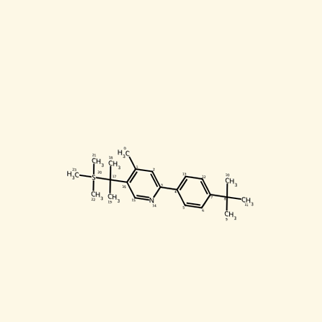 Cc1cc(-c2ccc(C(C)(C)C)cc2)ncc1C(C)(C)S(C)(C)C